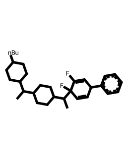 CCCCC1CCC(C(C)C2CCC(C(C)C3(F)C=CC(c4ccccc4)C=C3F)CC2)CC1